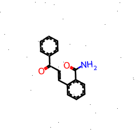 NC(=O)c1ccccc1C=CC(=O)c1ccccc1